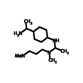 CNCCCN(C)C(C)NC1CCC(C(C)N)CC1